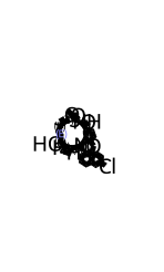 CC[C@H]1C(C)[C@H](C)/C=C/[C@H](O)[C@@H]2CC[C@H]2CN2C[C@@]3(CCCc4cc(Cl)ccc43)COc3ccc(cc32)C(=O)NS1(=O)=O